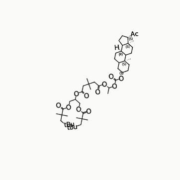 CC(=O)[C@H]1CCC2[C@@H]3CCC4C[C@@H](OC(=O)OC(C)OC(=O)CC(C)(C)CC(=O)OC(COC(=O)C(C)(C)CC(C)(C)C)COC(=O)C(C)(C)CC(C)(C)C)CC[C@]4(C)C3CC[C@@]21C